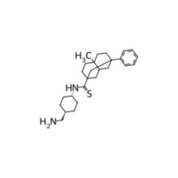 CC12CCC3(C(=S)N[C@H]4CC[C@H](CN)CC4)CC1CC(c1ccccc1)(CC2)C3